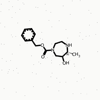 C[C@H]1NCCN(C(=O)OCc2ccccc2)CC1O